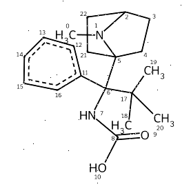 CN1C2CCC1(C(NC(=O)O)(c1ccccc1)C(C)(C)C)CC2